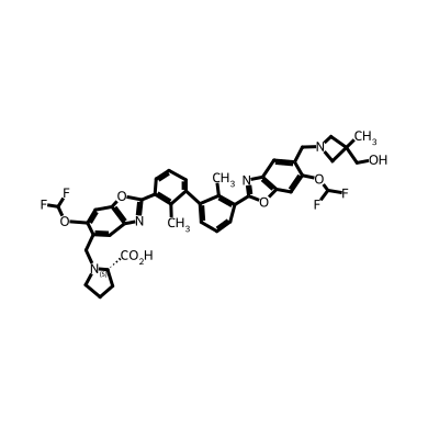 Cc1c(-c2nc3cc(CN4CC(C)(CO)C4)c(OC(F)F)cc3o2)cccc1-c1cccc(-c2nc3cc(CN4CCC[C@H]4C(=O)O)c(OC(F)F)cc3o2)c1C